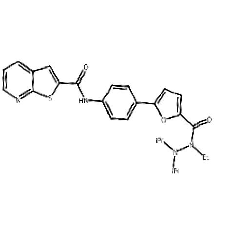 CCN(C(=O)c1ccc(-c2ccc(NC(=O)c3cc4cccnc4s3)cc2)o1)N(C(C)C)C(C)C